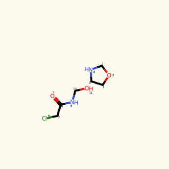 C1COCN1.O=C(CCl)NCO